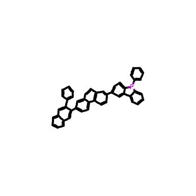 c1ccc(-c2cc3ccccc3cc2-c2ccc3c(ccc4cc(-c5ccc6c(c5)c5ccccc5p6-c5ccccc5)ccc43)c2)cc1